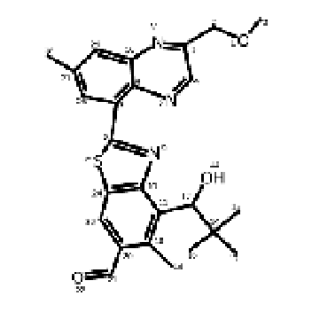 COCc1cnc2c(-c3nc4c(C(O)C(C)(C)C)c(C)c(C=O)cc4s3)cc(C)cc2n1